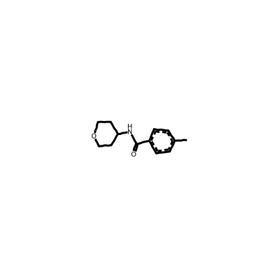 Cc1ccc(C(=O)NC2CCOCC2)cc1